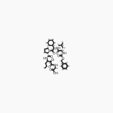 CCCC(NC(=O)[C@@H]1CCCN1C(=O)[C@@H](NC(=O)[C@H](CC(C)C)NC(=O)OCc1ccccc1)C1CCCCC1)C(=O)C(=O)NCC(=O)O